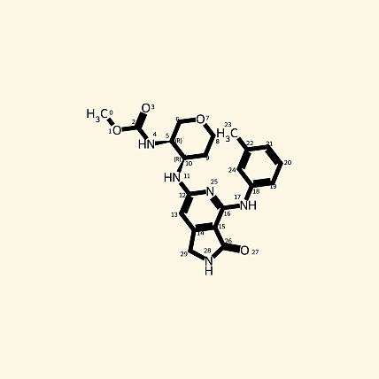 COC(=O)N[C@H]1COCC[C@H]1Nc1cc2c(c(Nc3cccc(C)c3)n1)C(=O)NC2